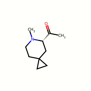 CC(=O)[C@@H]1CC2(CCN1C)CC2